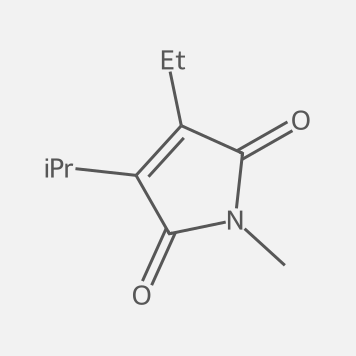 CCC1=C(C(C)C)C(=O)N(C)C1=O